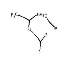 COF.FC(F)OC(F)C(F)(F)F